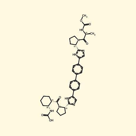 COC(=O)N[C@@H](C)C(=O)N1CCC[C@H]1c1ncc(-c2ccc(-c3ccc(-c4cnc([C@@H]5CCCN5C(=O)[C@H]5CCCC[C@H]5NC(=O)O)[nH]4)cc3)cc2)[nH]1